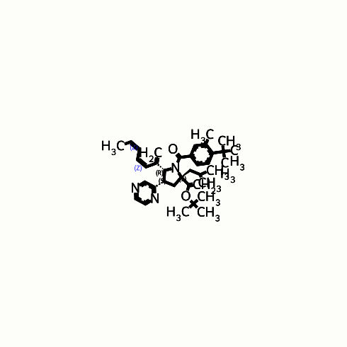 C=C(/C=C\C=C/C)[C@H]1[C@@H](c2cnccn2)C[C@@](CC(C)C)(C(=C)OC(C)(C)C)N1C(=O)c1ccc(C(C)(C)C)c(C)c1